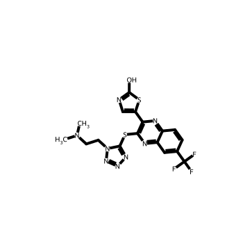 CN(C)CCn1nnnc1Sc1nc2cc(C(F)(F)F)ccc2nc1-c1cnc(O)s1